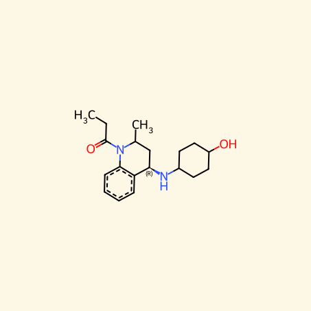 CCC(=O)N1c2ccccc2[C@H](NC2CCC(O)CC2)CC1C